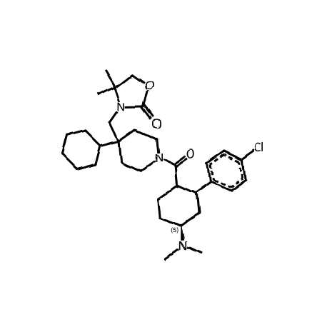 CN(C)[C@H]1CCC(C(=O)N2CCC(CN3C(=O)OCC3(C)C)(C3CCCCC3)CC2)C(c2ccc(Cl)cc2)C1